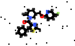 Cc1nc(C(=O)N2CC(COc3ccc(F)cn3)CCC2C)c(-c2ccccc2)s1